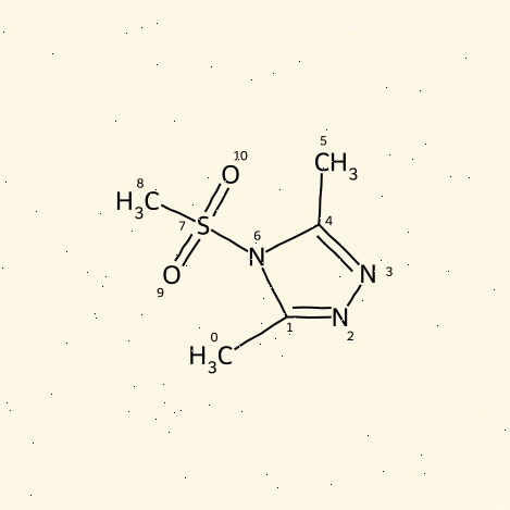 Cc1nnc(C)n1S(C)(=O)=O